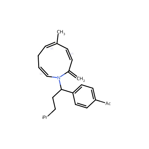 C=C1/C=C\C(C)=C/C/C=C\N1C(CCC(C)C)c1ccc(C(C)=O)cc1